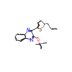 C=CCC1CC=C(c2nc3ccccc3nc2OC(C)(C)C)S1